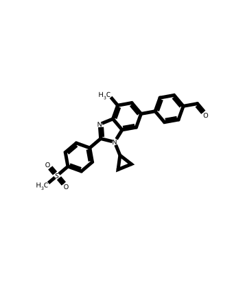 Cc1cc(-c2ccc(C=O)cc2)cc2c1nc(-c1ccc(S(C)(=O)=O)cc1)n2C1CC1